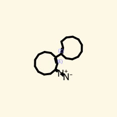 [N-]=[N+]=C1/C=C(/C2=C\CCCCCCCCC2)CCCCCCCC1